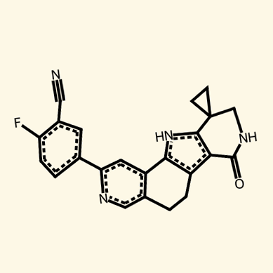 N#Cc1cc(-c2cc3c(cn2)CCc2c-3[nH]c3c2C(=O)NCC32CC2)ccc1F